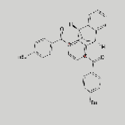 CCCCc1ccc(C(=O)OC2C(OC(=O)c3ccc(CCCC)cc3)[C@H]3c4ccccc4[C@H]2c2ccccc23)cc1